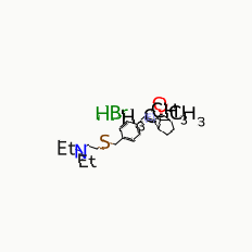 Br.CCN(CC)CCSCc1ccc(/C=C2/C(=O)C3(C)CCC2C3(C)C)cc1